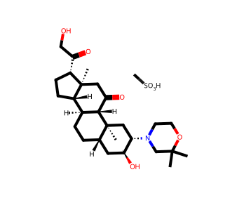 CC1(C)CN([C@H]2C[C@@]3(C)[C@@H](CC[C@H]4[C@@H]5CC[C@H](C(=O)CO)[C@@]5(C)CC(=O)[C@@H]43)C[C@@H]2O)CCO1.CS(=O)(=O)O